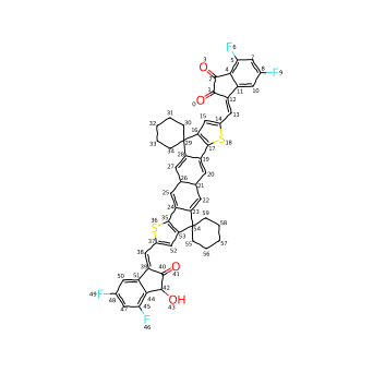 O=C1C(=O)c2c(F)cc(F)cc2/C1=C/c1cc2c(s1)C1=CC3C=C4C(=CC3C=C1C21CCCCC1)c1sc(/C=C2\C(=O)C(O)c3c(F)cc(F)cc32)cc1C41CCCCC1